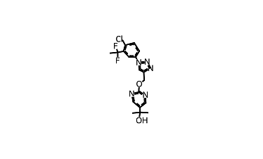 CC(C)(O)c1cnc(OCc2cn(-c3ccc(Cl)c(C(C)(F)F)c3)nn2)nc1